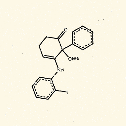 COC1(c2ccccc2)C(=O)CCC=C1Nc1ccccc1I